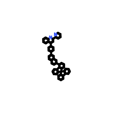 c1ccc(-c2cc(-c3ccc(-c4ccc5ccc(-c6cccc7c6-c6ccccc6C76c7ccccc7-c7ccccc76)cc5c4)cc3)c3ccccc3n2)nc1